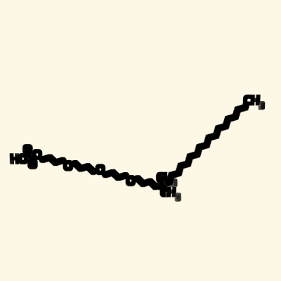 CCCCCCCCCCCCCCCCCC[N+](C)(C)CCCCOCCCCOCCCCOCCCCOS(=O)(=O)O